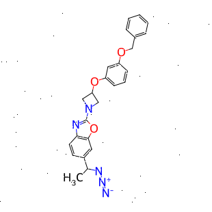 CC(N=[N+]=[N-])c1ccc2nc(N3CC(Oc4cccc(OCc5ccccc5)c4)C3)oc2c1